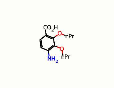 CCCOc1c(N)ccc(C(=O)O)c1OCCC